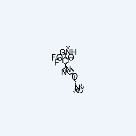 COc1cc(-c2cnc3cc(OCCCN4[C@H](C)CCC[C@@H]4C)ccn23)cc(OC(F)F)c1C(=O)NC1CC1